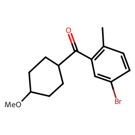 COC1CCC(C(=O)c2cc(Br)ccc2C)CC1